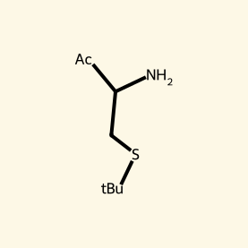 CC(=O)C(N)CSC(C)(C)C